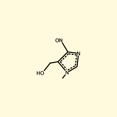 Cn1cnc(N=O)c1CO